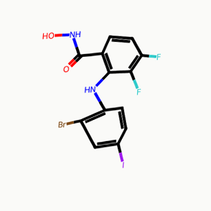 O=C(NO)c1ccc(F)c(F)c1Nc1ccc(I)cc1Br